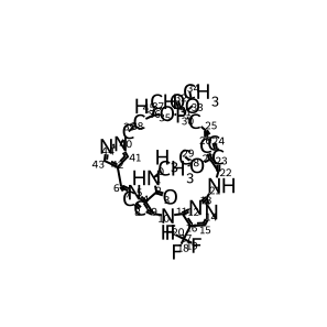 CNC(=O)c1nc2ccc1Nc1nc(ncc1C(F)(F)F)Nc1ccc(cc1OC)CP(=O)(OC)O[C@H](C)CCn1cc-2cn1